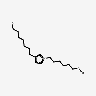 CCOCCCCCCn1cc[n+](CCCCCCOCC)c1